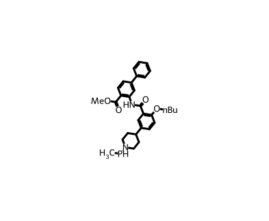 CCCCOc1ccc(C2CCN(PC)CC2)cc1C(=O)Nc1cc(-c2ccccc2)ccc1C(=O)OC